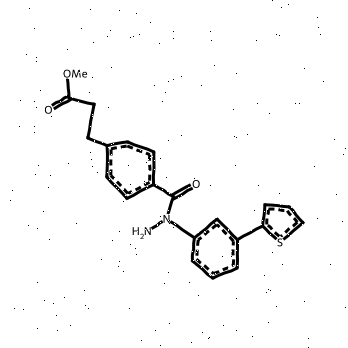 COC(=O)CCc1ccc(C(=O)N(N)c2cccc(-c3cccs3)c2)cc1